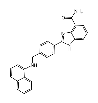 NC(=O)c1cccc2[nH]c(-c3ccc(CNc4cccc5ccccc45)cc3)nc12